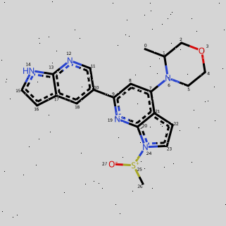 CC1COCCN1c1cc(-c2cnc3[nH]ccc3c2)nc2c1ccn2[S+](C)[O-]